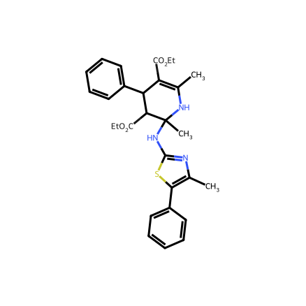 CCOC(=O)C1=C(C)NC(C)(Nc2nc(C)c(-c3ccccc3)s2)C(C(=O)OCC)C1c1ccccc1